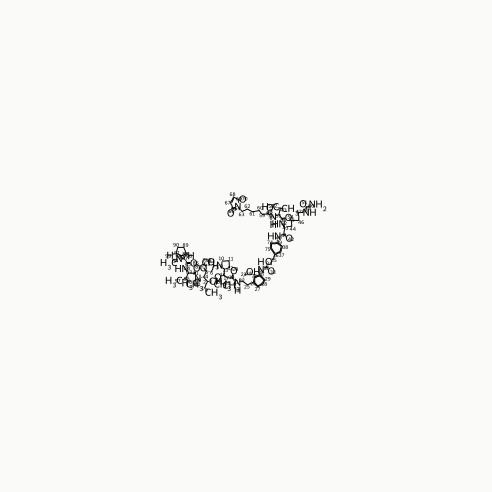 CC[C@H](C)[C@@H]([C@@H](CC(=O)N1CCC[C@H]1[C@H](OC)[C@@H](C)C(=O)N[C@H](CO)Cc1cccc(NC(=O)OCc2ccc(NC(=O)[C@H](CCCCNC(N)=O)NC(=O)[C@@H](NC(=O)CCCCCN3C(=O)C=CC3=O)C(C)C)cc2)c1)OC)N(C)C(=O)[C@@H](NC(=O)[C@@H]1[C@H]2CC[C@H](C2)N1C)C(C)C